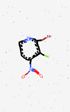 O=[N+]([O-])c1ccnc(Br)c1F